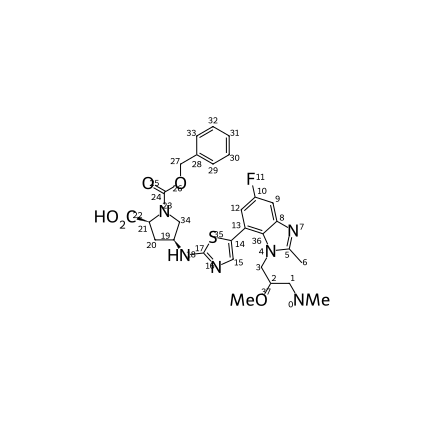 CNCC(Cn1c(C)nc2cc(F)cc(-c3cnc(N[C@H]4C[C@@H](C(=O)O)N(C(=O)OCc5ccccc5)C4)s3)c21)OC